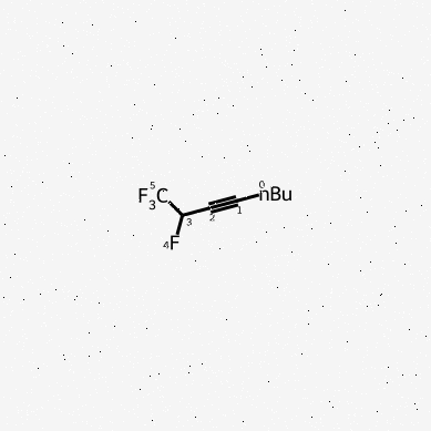 CCCCC#CC(F)C(F)(F)F